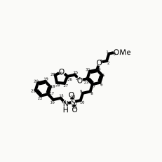 COCCOc1ccc(CCCS(=O)(=O)NCCc2ccccc2)c(OCC2CCCO2)c1